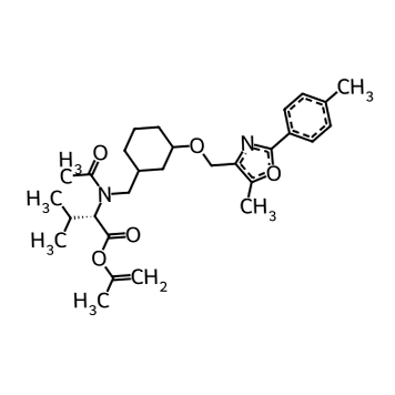 C=C(C)OC(=O)[C@H](C(C)C)N(CC1CCCC(OCc2nc(-c3ccc(C)cc3)oc2C)C1)C(C)=O